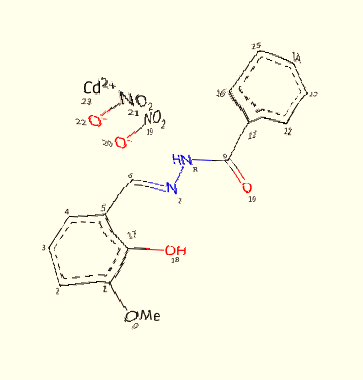 COc1cccc(C=NNC(=O)c2ccccc2)c1O.O=[N+]([O-])[O-].O=[N+]([O-])[O-].[Cd+2]